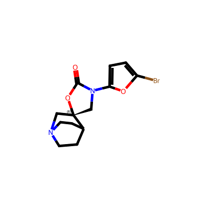 O=C1O[C@]2(CN3CCC2CC3)CN1c1ccc(Br)o1